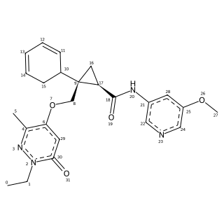 CCn1nc(C)c(OC[C@@]2(C3C=CC=CC3)C[C@H]2C(=O)Nc2cncc(OC)c2)cc1=O